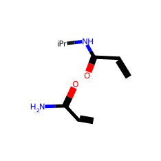 C=CC(=O)NC(C)C.C=CC(N)=O